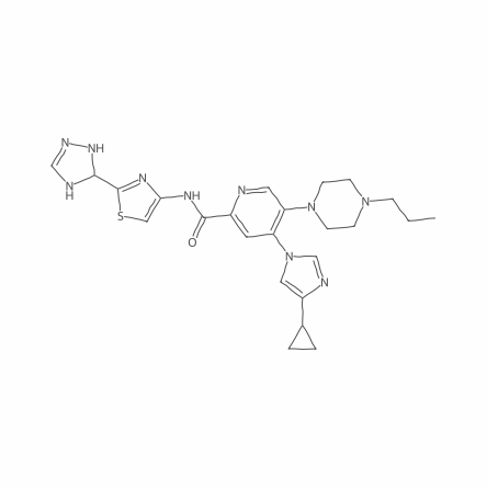 CCCN1CCN(c2cnc(C(=O)Nc3csc(C4NC=NN4)n3)cc2-n2cnc(C3CC3)c2)CC1